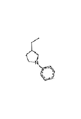 CCC1CCN(c2cc[c]cc2)C1